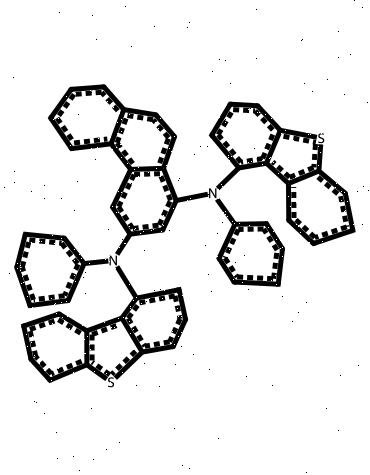 c1ccc(N(c2cc(N(c3ccccc3)c3cccc4sc5ccccc5c34)c3ccc4ccccc4c3c2)c2cccc3sc4ccccc4c23)cc1